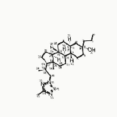 CCC[C@@]1(O)CC[C@H]2[C@@H](CC[C@@H]3[C@@H]2CC[C@]2(C)[C@@H]([C@H](C)Cn4nnc(C)n4)CC[C@@H]32)C1